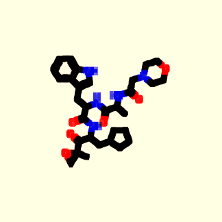 CC(NC(=O)CN1CCOCC1)C(=O)NC(Cc1c[nH]c2ccccc12)C(=O)NC(CC1CCCC1)C(=O)C1(C)CO1